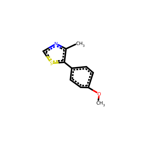 COc1ccc(-c2scnc2C)cc1